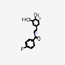 Cc1ccc(/C=C/C(=O)c2ccc(F)cc2)cc1O